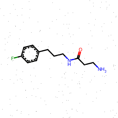 NCCC(=O)NCCCc1ccc(F)cc1